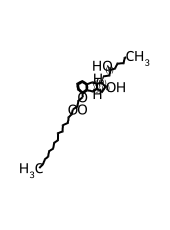 CCCCCCCCCCCCCCOC(=O)COc1cccc2c1C[C@H]1C[C@@H](O)[C@H](CC[C@@H](O)CCCCC)[C@H]1C2